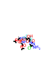 CC(C)OC(=O)[C@H](C)NP(=O)(N[C@@H](C)C(=O)OC(C)C)OC[C@@]1(C(F)F)O[C@@H](n2cc(Cl)c(N)nc2=O)C(F)(F)[C@@H]1O